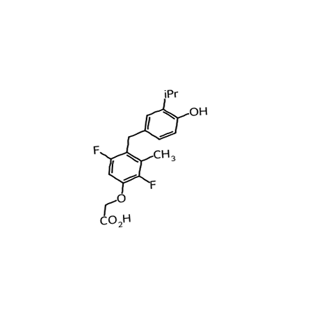 Cc1c(F)c(OCC(=O)O)cc(F)c1Cc1ccc(O)c(C(C)C)c1